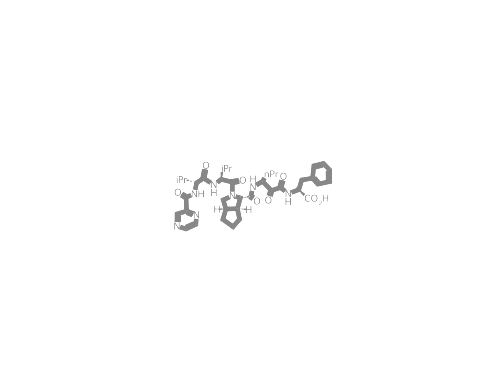 CCCC(NC(=O)[C@@H]1[C@H]2CCC[C@H]2CN1C(=O)[C@@H](NC(=O)[C@H](NC(=O)c1cnccn1)C(C)C)C(C)C)C(=O)C(=O)N[C@@H](Cc1ccccc1)C(=O)O